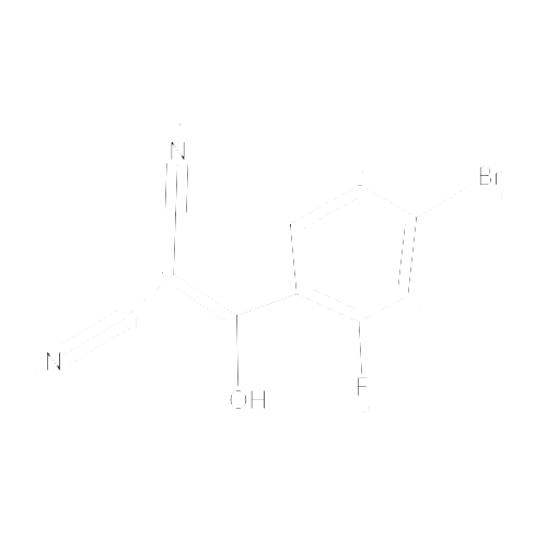 N#CC(C#N)=C(O)c1ccc(Br)cc1F